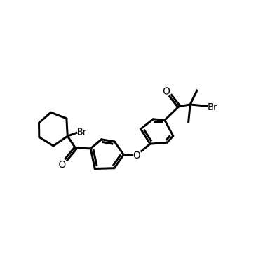 CC(C)(Br)C(=O)c1ccc(Oc2ccc(C(=O)C3(Br)CCCCC3)cc2)cc1